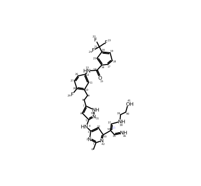 Cc1nc(Nc2cc(CCc3cc(NC(=O)c4cccc(C(F)(F)F)c4)ccc3F)[nH]n2)cc(/C(C=N)=C/NCCO)n1